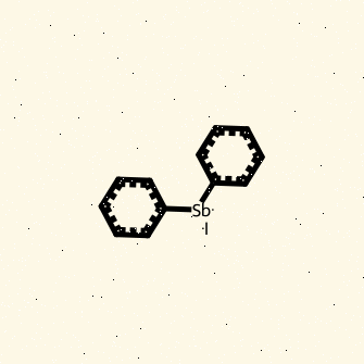 [I].c1cc[c]([Sb][c]2ccccc2)cc1